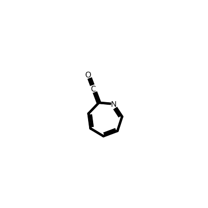 O=C=C1C=CC=CC=N1